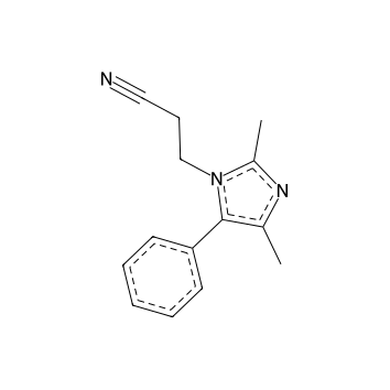 Cc1nc(C)n(CCC#N)c1-c1ccccc1